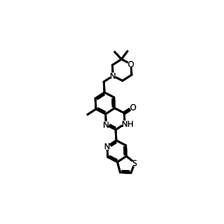 Cc1cc(CN2CCOC(C)(C)C2)cc2c(=O)[nH]c(-c3cc4sccc4cn3)nc12